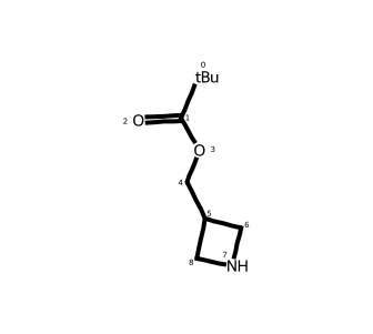 CC(C)(C)C(=O)OCC1CNC1